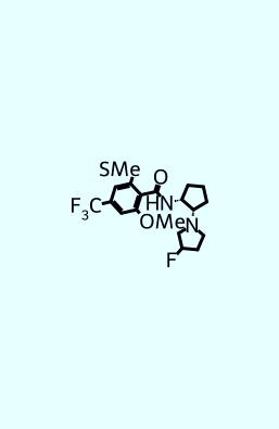 COc1cc(C(F)(F)F)cc(SC)c1C(=O)N[C@@H]1CCC[C@@H]1N1CCC(F)C1